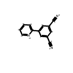 N#Cc1cc(C#N)cc(-c2cc[c]cn2)c1